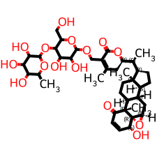 CC1=C(COC2OC(CO)C(OC3OC(C)C(O)C(O)C3O)C(O)C2O)C(=O)O[C@@H]([C@@H](C)[C@H]2CC[C@H]3[C@@H]4C[C@H]5O[C@]56[C@@H](O)C=CC(=O)[C@]6(C)[C@H]4CC[C@]23C)C1